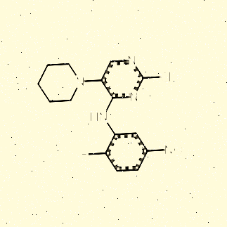 O=[N+]([O-])c1ccc(F)c(Nc2nc(Cl)ncc2N2CCCCC2)c1